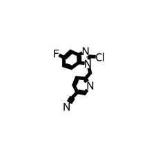 N#Cc1ccc(Cn2c(Cl)nc3cc(F)ccc32)nc1